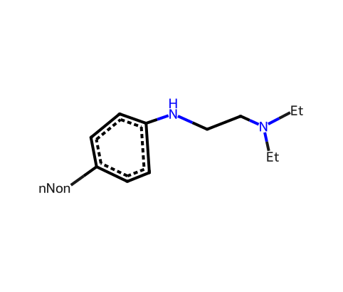 CCCCCCCCCc1ccc(NCCN(CC)CC)cc1